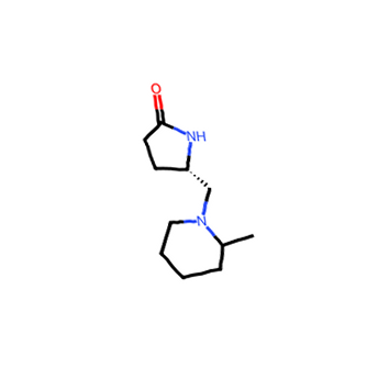 CC1CCCCN1C[C@@H]1CCC(=O)N1